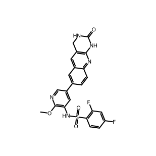 COc1ncc(-c2ccc3nc4c(cc3c2)CNC(=O)N4)cc1NS(=O)(=O)c1ccc(F)cc1F